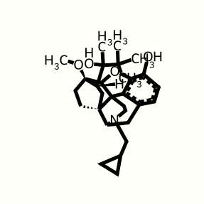 CO[C@]12CC[C@@]3(C[C@H]1C(C)(O)C(C)(C)C)C1Cc4ccc(O)c5c4C3(CCN1CC1CC1)C2O5